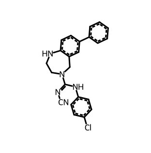 N#CN=C(Nc1ccc(Cl)cc1)N1CCNc2ccc(-c3ccccc3)cc2C1